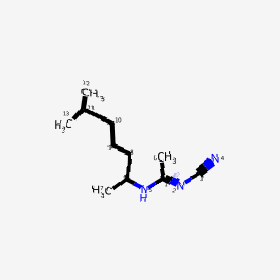 C/C(=N\C#N)NC(C)CCCC(C)C